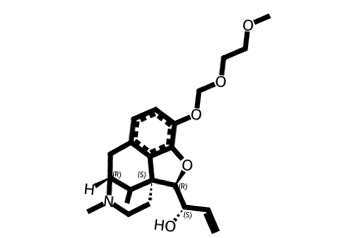 C=C[C@H](O)[C@@H]1Oc2c(OCOCCOC)ccc3c2[C@@]12CCN(C)[C@H](C3)C2C